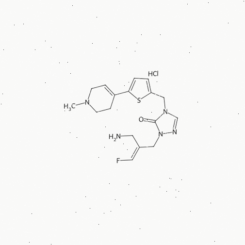 CN1CC=C(c2ccc(Cn3cnn(C/C(=C/F)CN)c3=O)s2)CC1.Cl